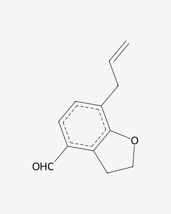 C=CCc1ccc(C=O)c2c1OCC2